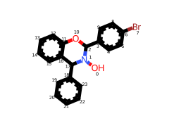 ON1C(c2ccc(Br)cc2)Oc2ccccc2C1c1ccccc1